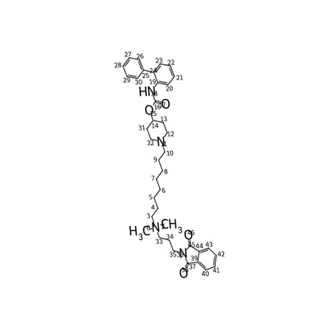 C[N+](C)(CCCCCCCCN1CCC(OC(=O)Nc2ccccc2-c2ccccc2)CC1)CCCN1C(=O)c2ccccc2C1=O